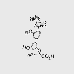 CCC[C@H](Oc1cc(O)cc(-c2ccc(-c3nc4[nH]nnc4c(=O)[nH]3)c(OCC)c2)c1)C(=O)O